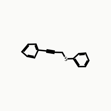 C(#Cc1ccccc1)CSc1ccccc1